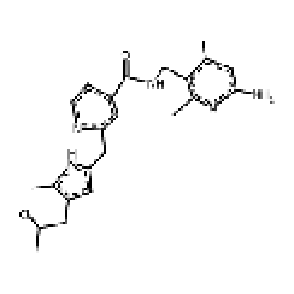 Cc1cc(N)nc(C)c1CNC(=O)c1ccnc(Cc2cc(CC(C)Cl)c(C)[nH]2)c1